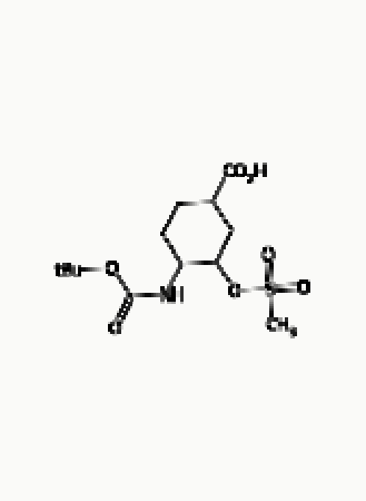 CC(C)(C)OC(=O)NC1CCC(C(=O)O)CC1OS(C)(=O)=O